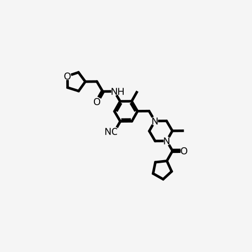 Cc1c(CN2CCN(C(=O)C3CCCC3)C(C)C2)cc(C#N)cc1NC(=O)CC1CCOC1